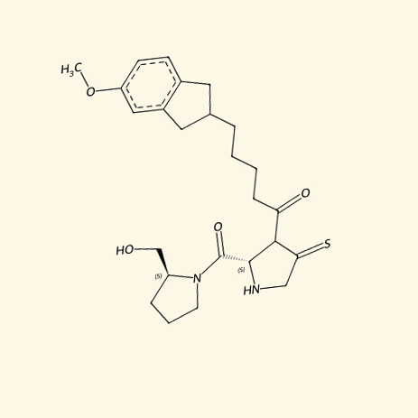 COc1ccc2c(c1)CC(CCCCC(=O)C1C(=S)CN[C@@H]1C(=O)N1CCC[C@H]1CO)C2